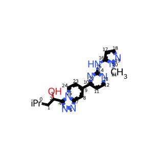 CC(C)C[C@@H](O)c1nnc2cc(-c3ccnc(Nc4ccnn4C)n3)ccn12